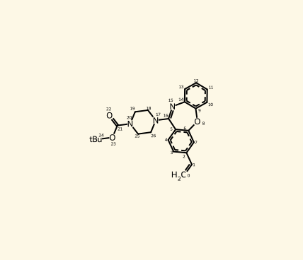 C=Cc1ccc2c(c1)Oc1ccccc1N=C2N1CCN(C(=O)OC(C)(C)C)CC1